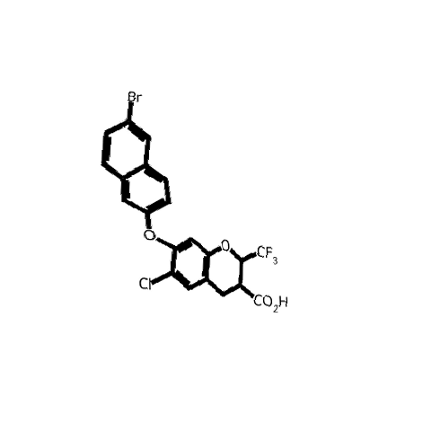 O=C(O)C1Cc2cc(Cl)c(Oc3ccc4cc(Br)ccc4c3)cc2OC1C(F)(F)F